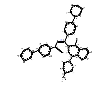 C=C(/C=C(/c1ccc(-c2ccccc2)cc1)c1cc(-c2ccc(C#N)cc2)c2ccccc2c1C)c1ccc(-c2ccccc2)cc1